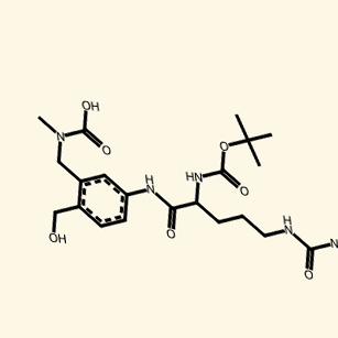 CN(Cc1cc(NC(=O)C(CCCNC(N)=O)NC(=O)OC(C)(C)C)ccc1CO)C(=O)O